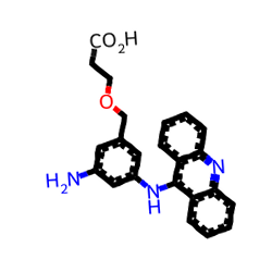 Nc1cc(COCCC(=O)O)cc(Nc2c3ccccc3nc3ccccc23)c1